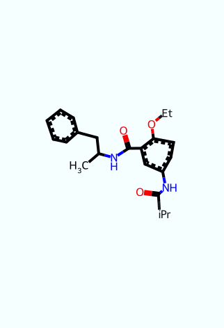 CCOc1ccc(NC(=O)C(C)C)cc1C(=O)NC(C)Cc1ccccc1